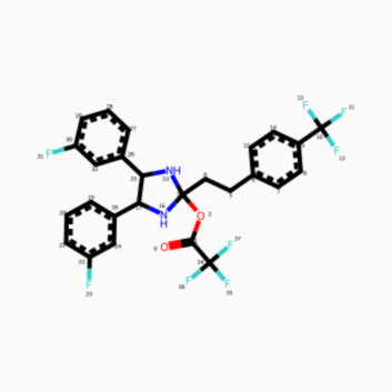 O=C(OC1(CCc2ccc(C(F)(F)F)cc2)NC(c2cccc(F)c2)C(c2cccc(F)c2)N1)C(F)(F)F